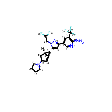 Nc1ncc(-c2cc([C@@H]3C4=CC(N5CCCC5)C[C@H]43)n(CC(F)F)n2)cc1C(F)(F)F